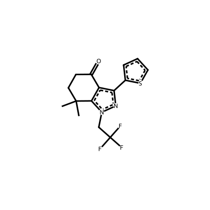 CC1(C)CCC(=O)c2c(-c3cccs3)nn(CC(F)(F)F)c21